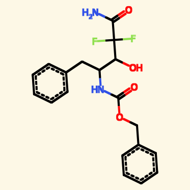 NC(=O)C(F)(F)C(O)C(Cc1ccccc1)NC(=O)OCc1ccccc1